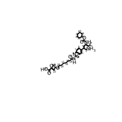 Cc1ncc(-c2ccc3nc(NC(=O)CCCCCCOc4cc(C(=O)O)on4)sc3c2)cc1NC(=O)OC1CCCCC1